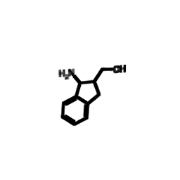 NC1c2ccccc2CC1CO